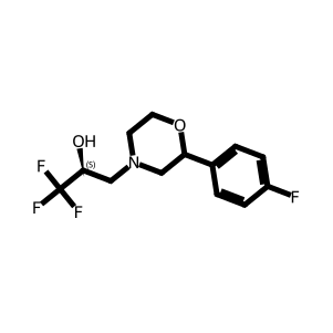 O[C@@H](CN1CCOC(c2ccc(F)cc2)C1)C(F)(F)F